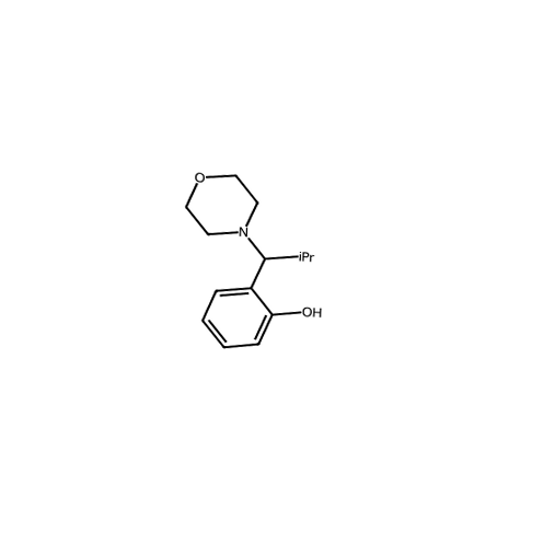 CC(C)C(c1ccccc1O)N1CCOCC1